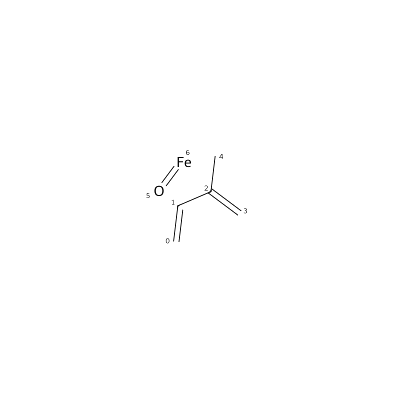 C=CC(=C)C.[O]=[Fe]